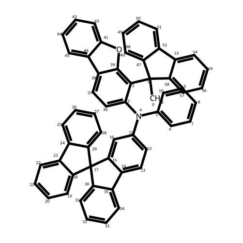 CC1(c2c(N(c3ccccc3)c3ccc4c(c3)C3(c5ccccc5-c5ccccc53)c3ccccc3-4)ccc3c2oc2ccccc23)c2ccccc2-c2ccccc21